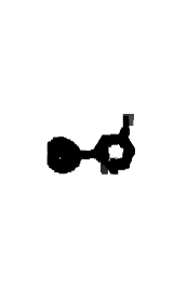 Fc1ccnc([C]23[CH]4[CH]5[CH]6[CH]2[Fe]56432789[CH]3[CH]2[CH]7[CH]8[CH]39)c1